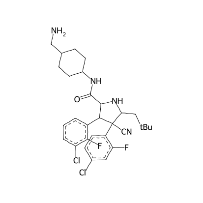 CC(C)(C)CC1NC(C(=O)NC2CCC(CN)CC2)C(c2cccc(Cl)c2F)C1(C#N)c1ccc(Cl)cc1F